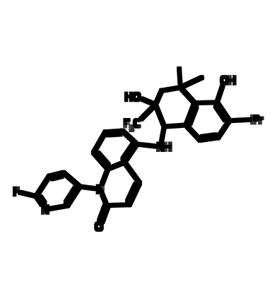 CC(C)c1ccc2c(c1O)C(C)(C)CC(O)(C(F)(F)F)C2Nc1cccc2c1ccc(=O)n2-c1ccc(F)nc1